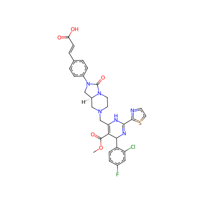 COC(=O)C1=C(CN2CCN3C(=O)N(c4ccc(/C=C/C(=O)O)cc4)C[C@@H]3C2)NC(c2nccs2)=NC1c1ccc(F)cc1Cl